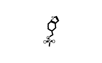 CS(=O)(=O)OCC1CCc2sccc2C1